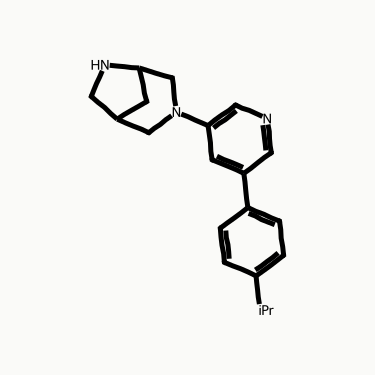 CC(C)c1ccc(-c2cncc(N3CC4CNC(C4)C3)c2)cc1